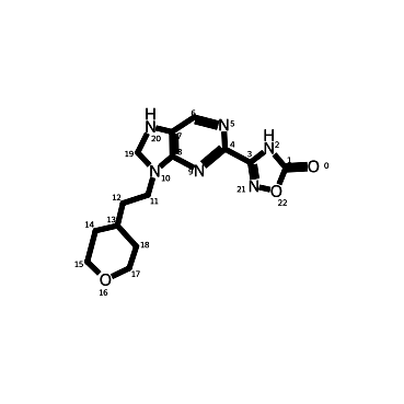 O=c1[nH]c(-c2ncc3c(n2)N(CCC2CCOCC2)CN3)no1